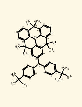 CC(C)(C)c1ccc(N(c2ccc(C(C)(C)C)cc2)c2cc3c4c(c2)C(C)(C)c2cccc5c2N4c2c(cccc2C3(C)C)C5(C)C)cc1